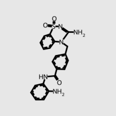 NC1=NS(=O)(=O)c2ccccc2N1Cc1ccc(C(=O)Nc2ccccc2N)cc1